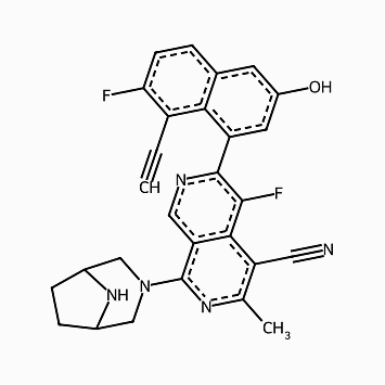 C#Cc1c(F)ccc2cc(O)cc(-c3ncc4c(N5CC6CCC(C5)N6)nc(C)c(C#N)c4c3F)c12